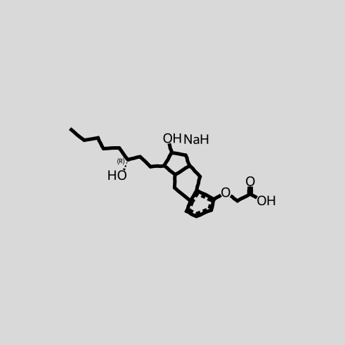 CCCCC[C@@H](O)CCC1C(O)CC2Cc3c(cccc3OCC(=O)O)CC21.[NaH]